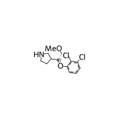 COC[C@H](Oc1cccc(Cl)c1Cl)C1CCNC1